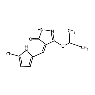 CC(C)OC1=NNC(=O)C1=Cc1ccc(Cl)[nH]1